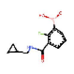 O=C(NCC1CC1)c1cccc(B(O)O)c1F